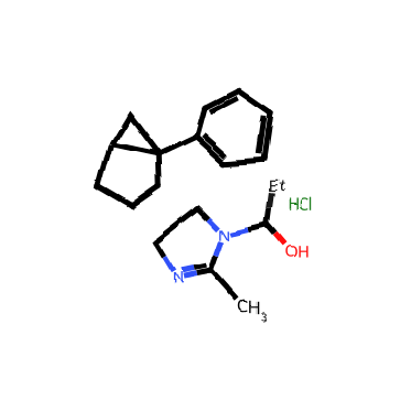 CCC(O)N1CCN=C1C.Cl.c1ccc(C23CCCC2C3)cc1